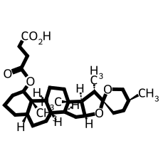 C[C@H]1CC[C@@]2(OC1)O[C@H]1C[C@H]3[C@@H]4CC[C@@H]5CCCC(OC(=O)CCC(=O)O)[C@]5(C)[C@H]4CC[C@]3(C)[C@H]1[C@@H]2C